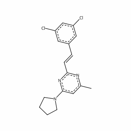 Cc1cc(N2CCCC2)nc(/C=C/c2cc(Cl)cc(Cl)c2)n1